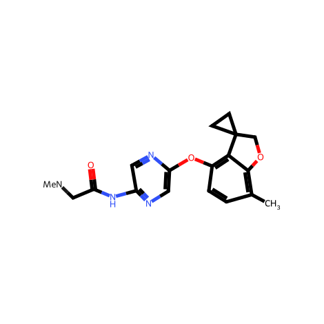 CNCC(=O)Nc1cnc(Oc2ccc(C)c3c2C2(CC2)CO3)cn1